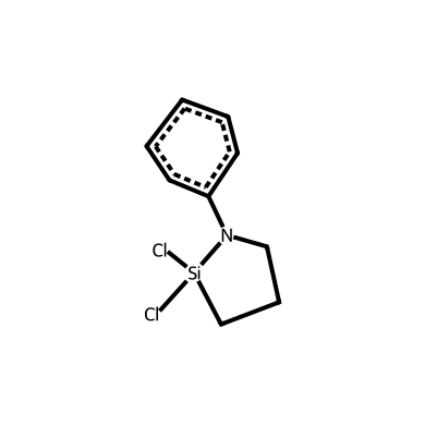 Cl[Si]1(Cl)CCCN1c1ccccc1